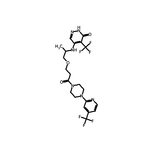 CC(COCCC(=O)N1CCN(c2cc(C(F)(F)F)ccn2)CC1)Nc1cn[nH]c(=O)c1C(F)(F)F